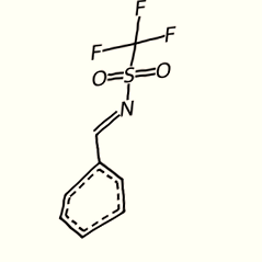 O=S(=O)(N=Cc1ccccc1)C(F)(F)F